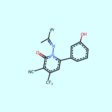 CC(=Nn1c(-c2cccc(O)c2)cc(C(F)(F)F)c(C#N)c1=O)C(C)C